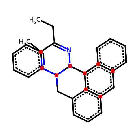 CCC(=NN(Cc1ccccc1)Cc1ccccc1)C(C)=NN(Cc1ccccc1)Cc1ccccc1